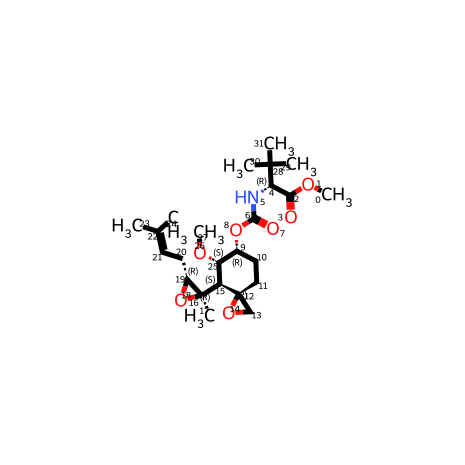 COC(=O)[C@H](NC(=O)O[C@@H]1CC[C@]2(CO2)[C@@H]([C@@]2(C)O[C@@H]2CC=C(C)C)[C@@H]1OC)C(C)(C)C